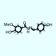 COc1cc(C(=O)NN=Cc2ccc(O)cc2)ccc1O